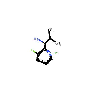 CC(C)[C@H](N)c1ncccc1F.Cl